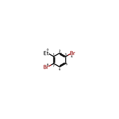 CCc1[c]c(Br)ccc1Br